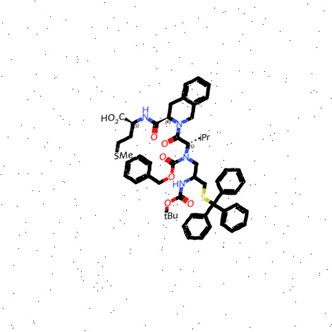 CSCC[C@H](NC(=O)[C@H]1Cc2ccccc2CN1C(=O)[C@H](C(C)C)N(CC(CSC(c1ccccc1)(c1ccccc1)c1ccccc1)NC(=O)OC(C)(C)C)C(=O)OCc1ccccc1)C(=O)O